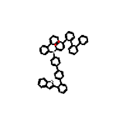 c1ccc(-c2ccccc2-c2ccccc2-c2ccc(N(c3ccc(-c4ccc(-c5ccccc5-c5cc6ccccc6o5)cc4)cc3)c3ccccc3-c3ccccc3)cc2)cc1